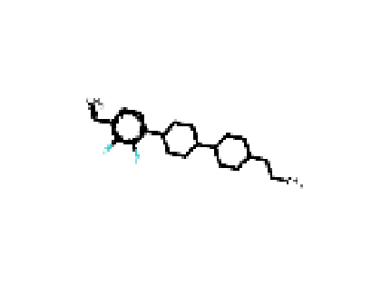 C=Cc1ccc(C2CCC(C3CCC(CCC)CC3)CC2)c(F)c1F